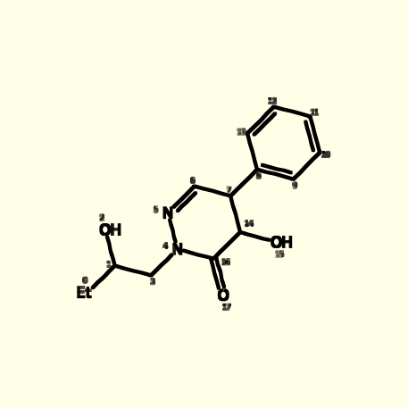 CCC(O)CN1N=CC(c2ccccc2)C(O)C1=O